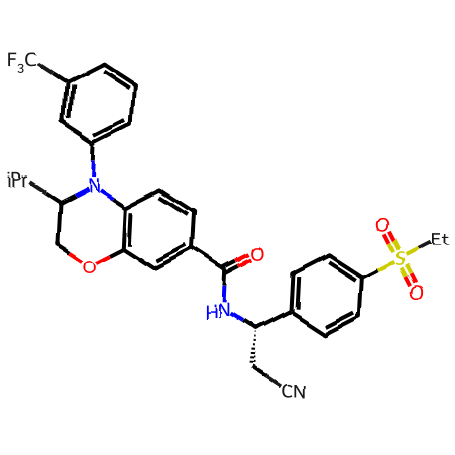 CCS(=O)(=O)c1ccc([C@H](CC#N)NC(=O)c2ccc3c(c2)OCC(C(C)C)N3c2cccc(C(F)(F)F)c2)cc1